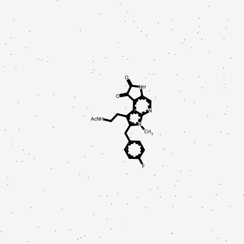 CC(=O)NCCc1c(Cc2ccc(F)cc2)n(C)c2ncc3c(c12)C(=O)C(=O)N3